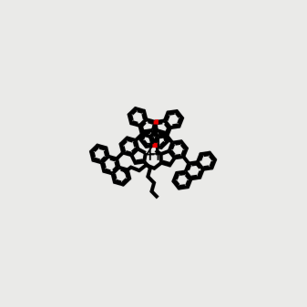 CCCCCC1=Cc2c(-c3c4ccccc4cc4ccccc34)ccc(-c3c4ccccc4cc4ccccc34)c2[CH]1[Zr]([CH]1C(CCCCC)=Cc2c(-c3c4ccccc4cc4ccccc34)ccc(-c3c4ccccc4cc4ccccc34)c21)[SiH](C)C